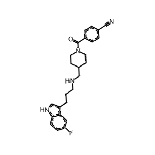 N#Cc1ccc(C(=O)N2CCC(CNCCCc3c[nH]c4ccc(F)cc34)CC2)cc1